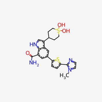 Cn1ccnc1-c1ccc(-c2cc(C(N)=O)c3[nH]cc(C4CCS(O)(O)CC4)c3c2)s1